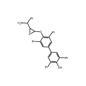 CC(C)c1cc(-c2cc(C(C)C)c(OC3OC3C(N)C(C)C)c(C(C)C)c2)cc(C(C)C)c1O